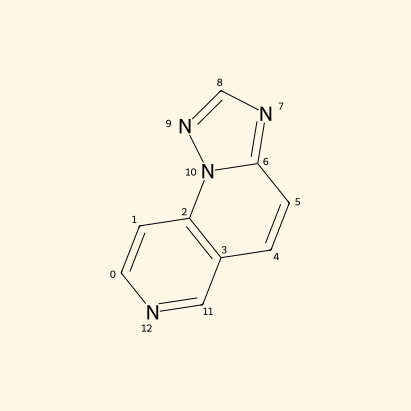 c1cc2c(ccc3ncnn32)cn1